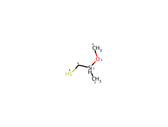 CO[SiH](C)CS